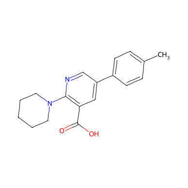 Cc1ccc(-c2cnc(N3CCCCC3)c(C(=O)O)c2)cc1